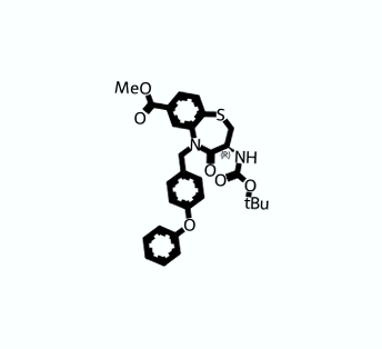 COC(=O)c1ccc2c(c1)N(Cc1ccc(Oc3ccccc3)cc1)C(=O)[C@@H](NC(=O)OC(C)(C)C)CS2